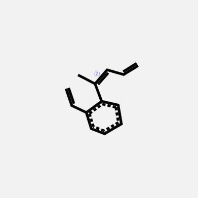 C=C/C=C(/C)c1ccccc1C=C